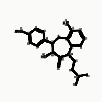 COc1ccc([C@H]2Cc3c(cccc3C(F)(F)F)N(CCN(C)C)C(=O)[C@H]2O)cc1